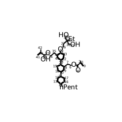 C=C(C)C(=O)OCCc1cc(-c2ccc(CCCCC)cc2)ccc1-c1ccc(OCCC(CC)(CO)CO)c(CCOC(O)C(=C)C)c1